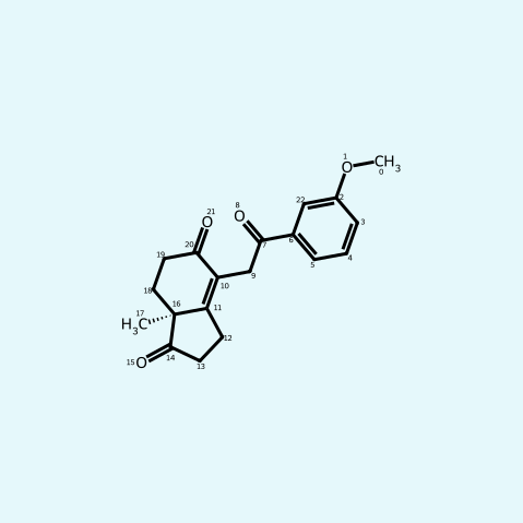 COc1cccc(C(=O)CC2=C3CCC(=O)[C@@]3(C)CCC2=O)c1